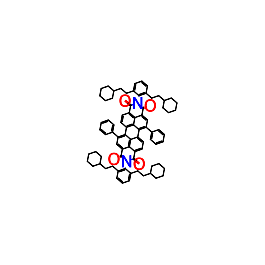 O=C1c2ccc3c4c(-c5ccccc5)cc5c6c(ccc(c7c(-c8ccccc8)cc(c2c37)C(=O)N1c1c(CCC2CCCCC2)cccc1CCC1CCCCC1)c64)C(=O)N(c1c(CCC2CCCCC2)cccc1CCC1CCCCC1)C5=O